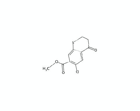 COC(=O)c1cc2c(cc1Cl)C(=O)CCS2